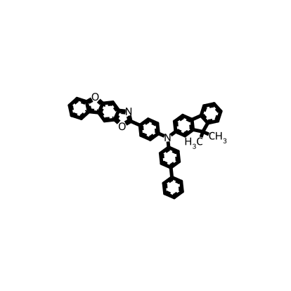 CC1(C)c2ccccc2-c2ccc(N(c3ccc(-c4ccccc4)cc3)c3ccc(-c4nc5cc6oc7ccccc7c6cc5o4)cc3)cc21